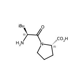 CCC(C)[C@H](N)C(=O)N1CCC[C@H]1C(=O)O